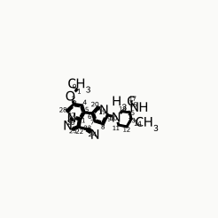 CCOc1cc(-c2ccc(N3CC[C@@H](C)[C@@H](NC)C3)nc2)c2c(C#N)cnn2c1